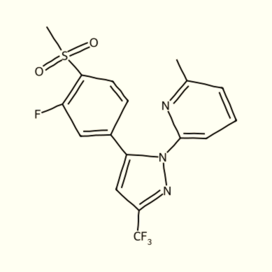 Cc1cccc(-n2nc(C(F)(F)F)cc2-c2ccc(S(C)(=O)=O)c(F)c2)n1